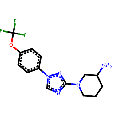 NC1CCCN(c2ncn(-c3ccc(OC(F)(F)F)cc3)n2)C1